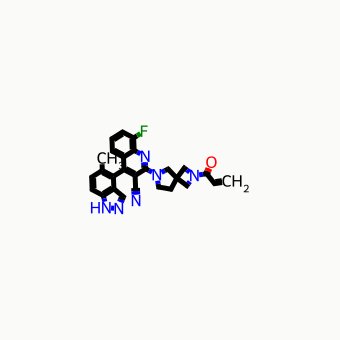 C=CC(=O)N1CC2(CCN(c3nc4c(F)cccc4c(-c4c(C)ccc5[nH]ncc45)c3C#N)C2)C1